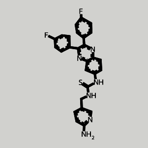 Nc1ccc(CNC(=S)Nc2ccc3nc(-c4ccc(F)cc4)c(-c4ccc(F)cc4)nc3c2)cn1